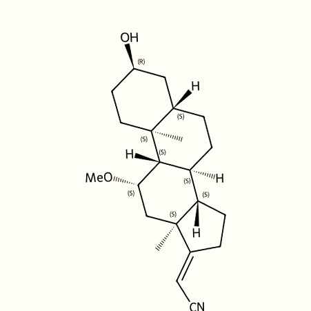 CO[C@H]1C[C@]2(C)C(=CC#N)CC[C@H]2[C@@H]2CC[C@H]3C[C@H](O)CC[C@]3(C)[C@H]21